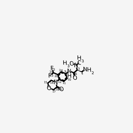 CN(C)[C@@H](CN)C(=O)Nc1ccc(N2CCOCC2=O)c(C(F)F)c1